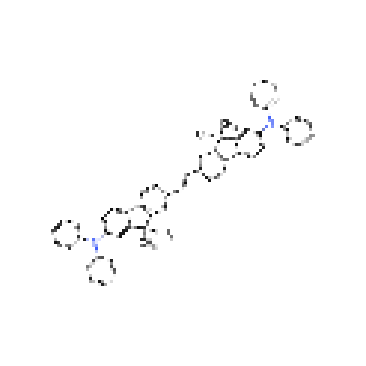 CC1(C)c2cc(/C=C/c3ccc4c(c3)C(C)(C)c3cc(N(c5ccccc5)c5ccccc5)ccc3-4)ccc2-c2ccc(N(C3=CCCC=C3)c3ccccc3)cc21